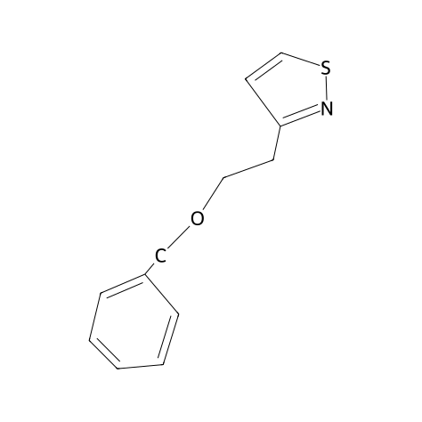 c1ccc(COCCc2ccsn2)cc1